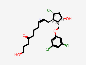 O=C(CCCO)CCC/C=C\C[C@@H]1[C@@H](COc2cc(Cl)cc(Cl)c2)[C@H](O)C[C@H]1Cl